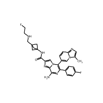 Cc1cnc2ccc(-c3c(-c4ccc(F)cc4)nc(N)c4nc(C(=O)NC56CC(CNCCF)(C5)C6)cn34)cn12